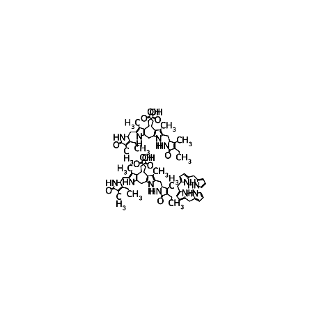 CCC1=C(C)C(Cc2[nH]c(Cc3[nH]c(CC4NC(=O)C(C)=C4CC)c(C)c3CCC(=O)O)c(CCC(=O)O)c2C)NC1=O.CCC1=C(C)C(Cc2[nH]c(Cc3[nH]c(CC4NC(=O)C(C)=C4CC)c(C)c3CCC(=O)O)c(CCC(=O)O)c2C)NC1=O.c1c[nH]c(Cc2ccc(Cc3ccc(Cc4ccc[nH]4)[nH]3)[nH]2)c1